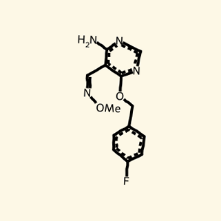 CO/N=C\c1c(N)ncnc1OCc1ccc(F)cc1